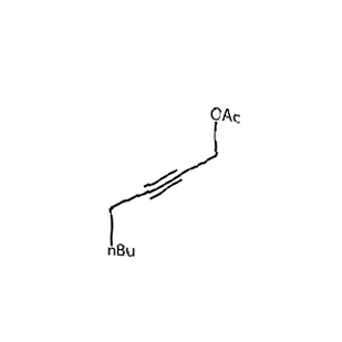 CCCCCC#CCOC(C)=O